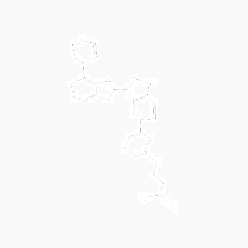 CN(C)CCOc1cncc(-c2ccc3[nH]nc(-c4nc5c(-c6ccncc6)cccc5[nH]4)c3n2)c1